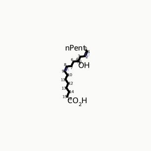 CCCCC/C=C\C[C@@H](O)CC/C=C\CCCCCCC(=O)O